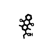 CCC(O)c1cc(C)c2c(c1C)C(=O)c1ccccc1C2=O